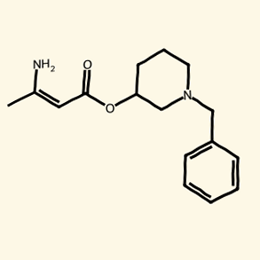 CC(N)=CC(=O)OC1CCCN(Cc2ccccc2)C1